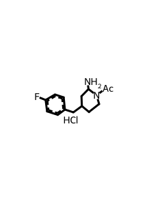 CC(=O)N1CCC(Cc2ccc(F)cc2)CC1N.Cl